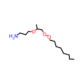 CCCCCCCCOOCC(C)OCCCN